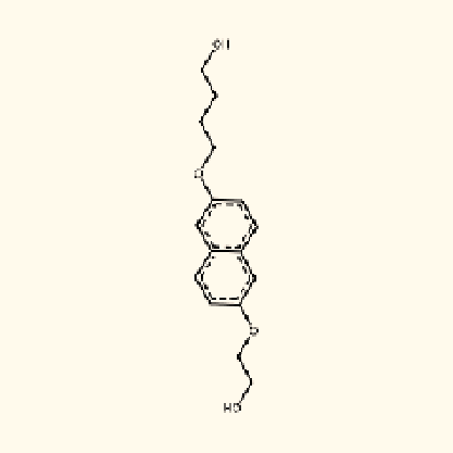 OCCCCOc1ccc2cc(OCCO)ccc2c1